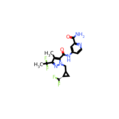 Cc1c(C(C)(F)F)nn(CC2C[C@@H]2C(F)F)c1C(=O)Nc1ccnc(C(N)=O)c1